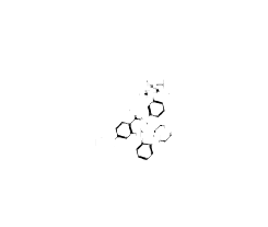 CC(C)(C)c1ccc(C(=O)Nc2cccc(S(N)(=O)=O)c2)c(Oc2ccccc2N2CCOCC2)c1